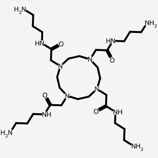 NCCCNC(=O)CN1CCN(CC(=O)NCCCN)CCN(CC(=O)NCCCN)CCN(CC(=O)NCCCN)CC1